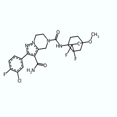 COC12CCC(NC(=O)N3CCn4nc(-c5ccc(F)c(Cl)c5)c(C(N)=O)c4C3)(CC1)C(F)(F)C2